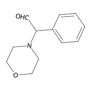 O=CC(c1ccccc1)N1CCOCC1